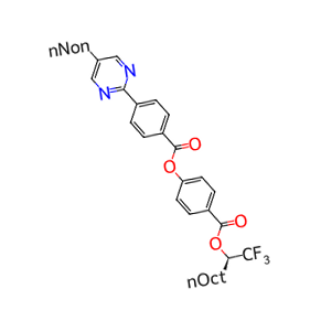 CCCCCCCCCc1cnc(-c2ccc(C(=O)Oc3ccc(C(=O)O[C@H](CCCCCCCC)C(F)(F)F)cc3)cc2)nc1